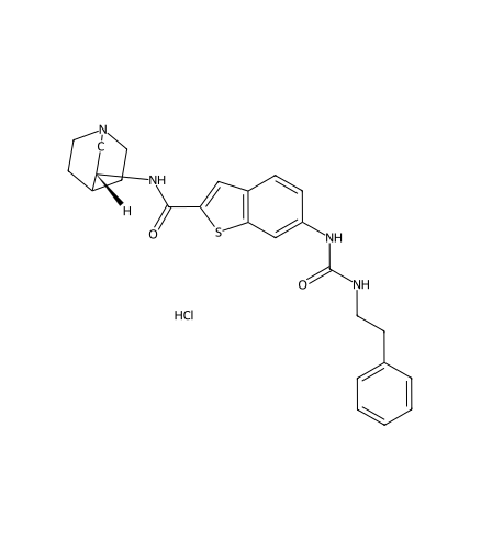 Cl.O=C(NCCc1ccccc1)Nc1ccc2cc(C(=O)N[C@H]3CN4CCC3CC4)sc2c1